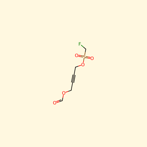 O=COCC#CCOS(=O)(=O)CF